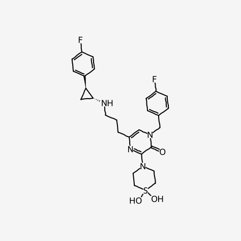 O=c1c(N2CCS(O)(O)CC2)nc(CCCN[C@@H]2C[C@H]2c2ccc(F)cc2)cn1Cc1ccc(F)cc1